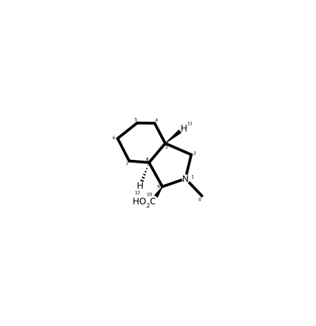 CN1C[C@H]2CCCC[C@@H]2[C@@H]1C(=O)O